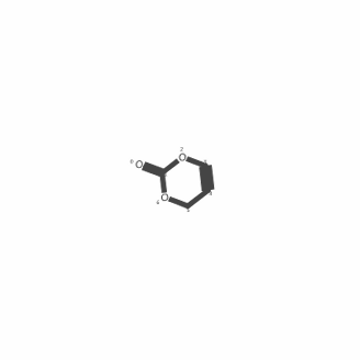 O=C1OC#CCO1